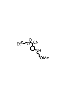 CCOCCOC(=O)C(C#N)C1C=C(NCCCOC)CCC1